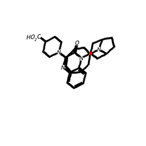 O=C(O)C1CCN(c2nc3ccccc3n(C3CC4CCC(C3)N4C3CCCCCCC3)c2=O)CC1